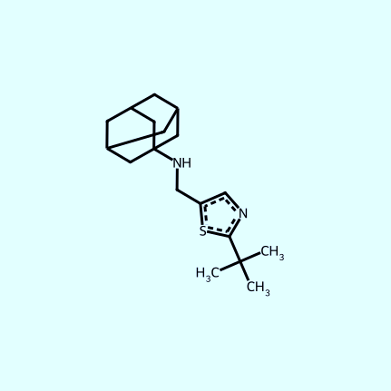 CC(C)(C)c1ncc(CNC23CC4CC(CC(C4)C2)C3)s1